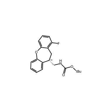 CC(C)(C)OC(=O)NC[C@H]1Cc2c(F)cccc2Oc2ccccc21